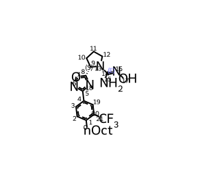 CCCCCCCCc1ccc(-c2noc([C@@H]3CCCN3/C(N)=N/O)n2)cc1C(F)(F)F